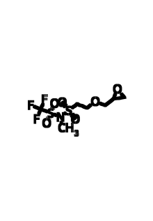 CN(S(=O)(=O)CCOCC1CO1)S(=O)(=O)C(F)(F)F